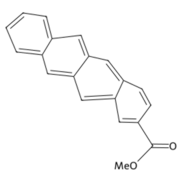 COC(=O)c1ccc2cc3cc4ccccc4cc3cc2c1